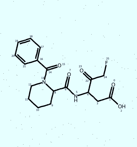 O=C(O)CC(NC(=O)C1CCCCN1C(=O)c1ccccc1)C(=O)CF